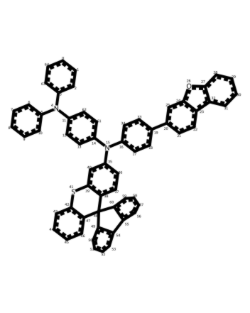 c1ccc(N(c2ccccc2)c2ccc(N(c3ccc(-c4ccc5c(c4)oc4ccccc45)cc3)c3ccc4c(c3)Sc3ccccc3C43c4ccccc4-c4ccccc43)cc2)cc1